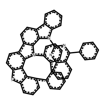 c1ccc(-c2nc(-n3c4ccccc4c4ccc5c6ccc7sc8cccc9c%10ccccc%10c%10ccccc%10n(c6c7c89)c5c43)nc3ccccc23)cc1